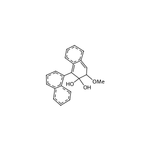 COC1C=c2ccccc2=C(c2cccc3ccccc23)C1(O)O